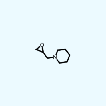 C1CCN(CC2CO2)CC1